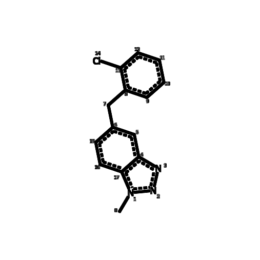 Cn1nnc2cc(Cc3ccccc3Cl)ccc21